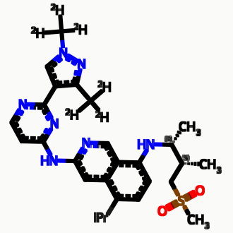 [2H]C([2H])([2H])c1nn(C([2H])([2H])[2H])cc1-c1nccc(Nc2cc3c(C(C)C)ccc(N[C@H](C)[C@H](C)CS(C)(=O)=O)c3cn2)n1